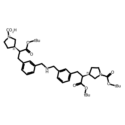 CC(C)(C)OC(=O)C(Cc1cccc(CNCc2cccc(CC(C(=O)OC(C)(C)C)[C@H]3CCN(C(=O)OC(C)(C)C)C3)c2)c1)[C@H]1CCN(C(=O)O)C1